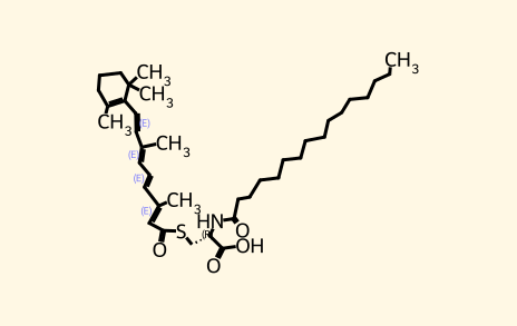 CCCCCCCCCCCCCCCC(=O)N[C@@H](CSC(=O)/C=C(C)/C=C/C=C(C)/C=C/C1=C(C)CCCC1(C)C)C(=O)O